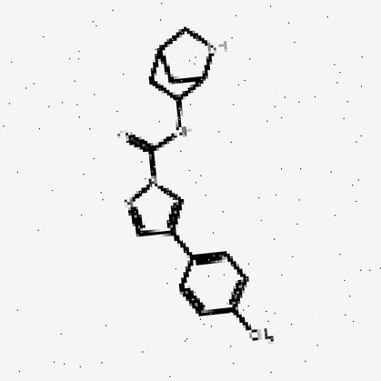 Cc1ccc(-c2cnn(C(=O)NC3CC4CNC3C4)c2)cc1